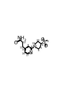 CS(=O)(=O)C1CCN(c2cc([CH]CC(N)=O)ccn2)CC1